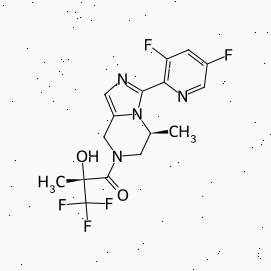 C[C@H]1CN(C(=O)[C@@](C)(O)C(F)(F)F)Cc2cnc(-c3ncc(F)cc3F)n21